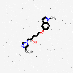 CCOC(=O)c1cn(C[C@@H](O)CCCOc2ccc3c(ccn3C)c2)cn1